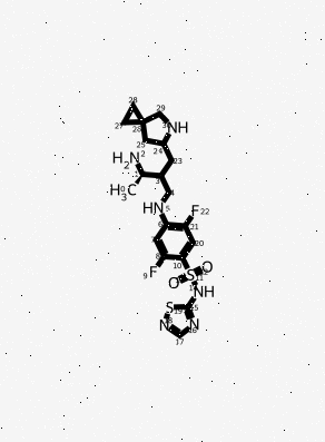 C[C@@H](N)C(CNc1cc(F)c(S(=O)(=O)Nc2ncns2)cc1F)CC1CC2(CC2)CN1